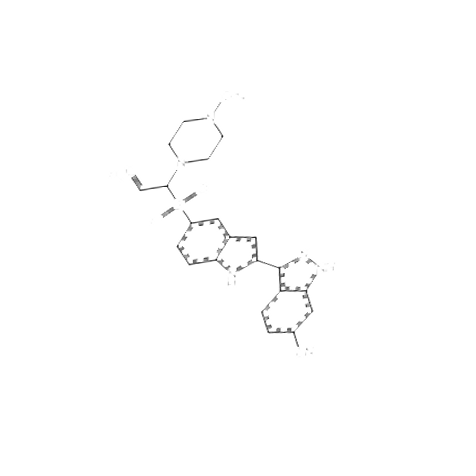 C=CC(N1CCN(C)CC1)S(=O)(=O)c1ccc2[nH]c(-c3n[nH]c4cc(C#N)ccc34)cc2c1